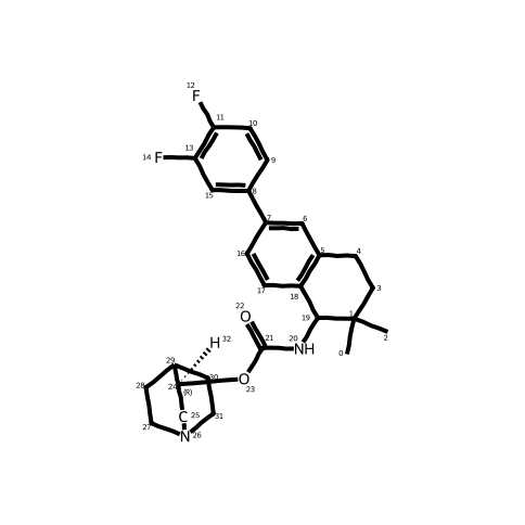 CC1(C)CCc2cc(-c3ccc(F)c(F)c3)ccc2C1NC(=O)O[C@H]1CN2CCC1CC2